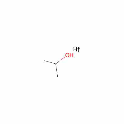 CC(C)O.[Hf]